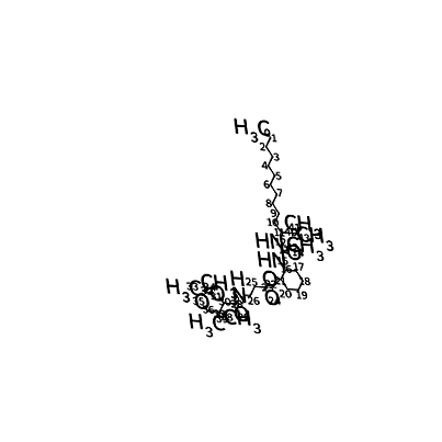 CCCCCCCCCCCC(NC(=O)NC1CCCCC1OC(=O)CCNC(=O)C1OC(C)(C)OCC1(C)C)C(C)(C)C